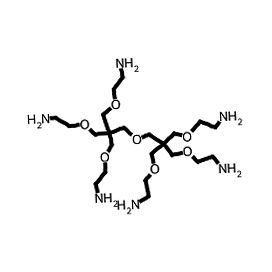 NCCOCC(COCCN)(COCCN)COCC(COCCN)(COCCN)COCCN